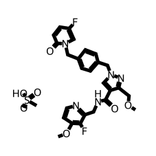 COCc1nn(Cc2ccc(Cn3cc(F)ccc3=O)cc2)cc1C(=O)NCc1nccc(OC)c1F.CS(=O)(=O)O